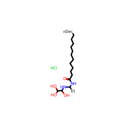 CCCCCCCCCCCCCCCCCCCCCC(=O)NC(CC)NC(O)C(O)O.Cl